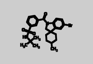 CC1CCC2(CC1)CN(C(=O)c1cccc(S(=O)(=O)NC(C)(C)C)c1)c1ccc(Br)cc12